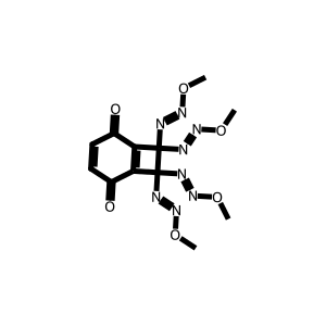 CON=NC1(N=NOC)C2=C(C(=O)C=CC2=O)C1(N=NOC)N=NOC